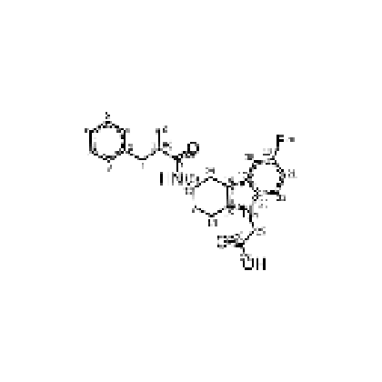 C[C@H](Cc1ccccc1)C(=O)N[C@H]1CCc2c(c3cc(F)ccc3n2CC(=O)O)C1